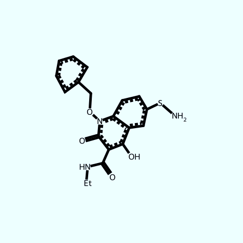 CCNC(=O)c1c(O)c2cc(SN)ccc2n(OCc2ccccc2)c1=O